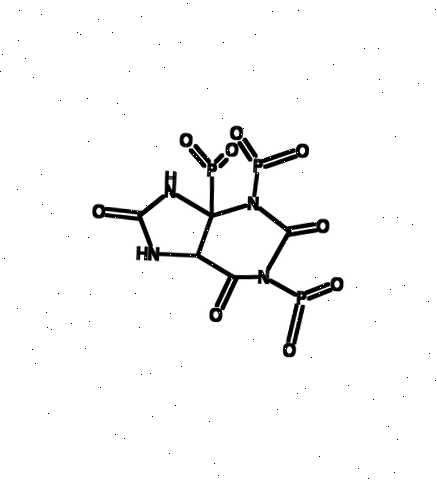 O=C1NC2C(=O)N(P(=O)=O)C(=O)N(P(=O)=O)C2(P(=O)=O)N1